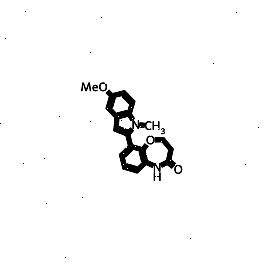 COc1ccc2c(c1)cc(-c1cccc3c1OCCC(=O)N3)n2C